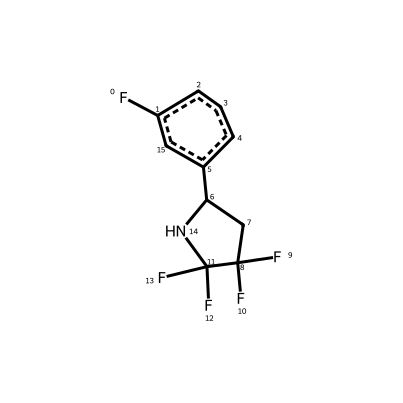 Fc1cccc(C2CC(F)(F)C(F)(F)N2)c1